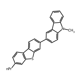 CCCc1ccc2c(c1)sc1cc(-c3ccc4c(c3)c3ccccc3n4C)ccc12